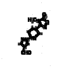 Cn1c(-c2ccc(-n3cc(C=O)cn3)nc2)noc1=O